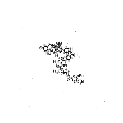 CCCCC(C)SC(CC(=O)O)C(=O)NCCC(=O)N[C@@H](C)C(=O)N[C@@H](C)C(=O)Nc1ccc([C@H](C)Nc2ccc([C@@H]3O[C@@H]4CC5[C@@H]6CCC7=CC(=O)C=C[C@]7(C)C6[C@@H](O)C[C@]5(C)[C@]4(C(=O)CO)O3)cn2)cc1